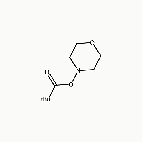 CC(C)(C)C(=O)ON1CCOCC1